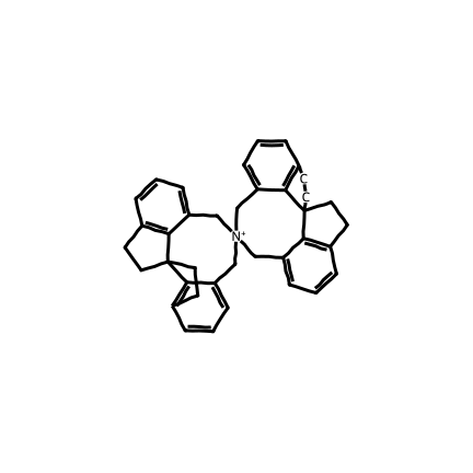 c1cc2c3c(c1)C[N+]1(Cc4cccc5c4C3(CC2)CC5)Cc2cccc3c2C2(CC3)CCc3cccc(c32)C1